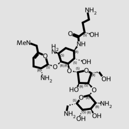 CNCC1=CC[C@@H](N)[C@@H](O[C@H]2[C@H](O[C@@H]3O[C@H](CO)[C@@H](O[C@H]4O[C@@H](CN)[C@@H](O)[C@H](O)[C@H]4N)[C@H]3O)[C@@H](O)[C@H](NC(=O)[C@@H](O)CCN)C[C@@H]2N)O1